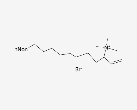 C=CC(CCCCCCCCCCCCCCCCC)[N+](C)(C)C.[Br-]